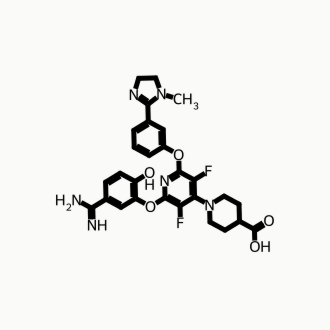 CN1CCN=C1c1cccc(Oc2nc(Oc3cc(C(=N)N)ccc3O)c(F)c(N3CCC(C(=O)O)CC3)c2F)c1